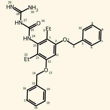 CCc1c(OCc2ccccc2)cc(OCc2ccccc2)c(CC)c1NC(=O)NC(=N)N